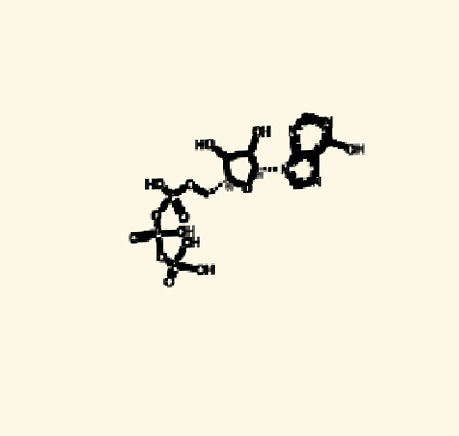 O=P(O)(O)OP(=O)(O)OP(=O)(O)OC[C@H]1O[C@@H](n2cnc3c(O)ncnc32)C(O)C1O